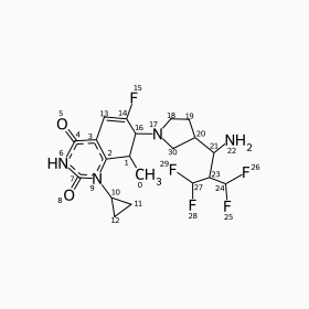 CC1c2c(c(=O)[nH]c(=O)n2C2CC2)C=C(F)C1N1CCC(C(N)C(C(F)F)C(F)F)C1